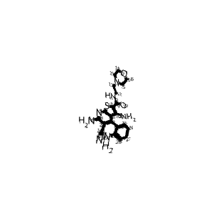 N#Cc1c(N)nc2sc(C(=O)NCCN3CCOCC3)c(N)c2c1-c1ccccc1N